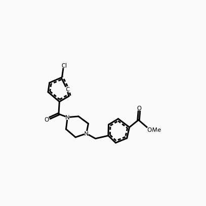 COC(=O)c1ccc(CN2CCN(C(=O)c3ccc(Cl)cc3)CC2)cc1